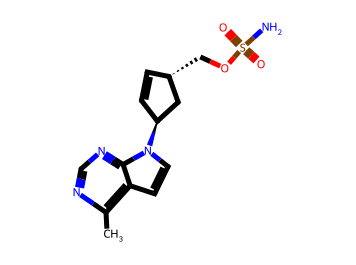 Cc1ncnc2c1ccn2[C@H]1C=C[C@H](COS(N)(=O)=O)C1